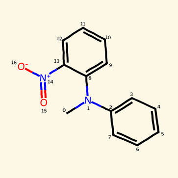 CN(c1ccccc1)c1ccccc1[N+](=O)[O-]